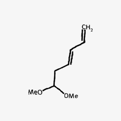 C=CC=CCC(OC)OC